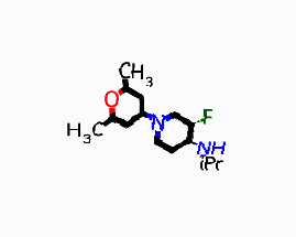 CC(C)N[C@@H]1CCN(C2CC(C)OC(C)C2)C[C@@H]1F